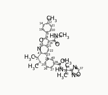 CC[C@@H](C)c1nc2oc(-c3ccc(C)cc3)c(C(=O)NC)c2cc1-c1cccc(C(=O)NC(C)(C)c2ncon2)c1